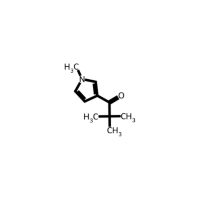 Cn1ccc(C(=O)C(C)(C)C)c1